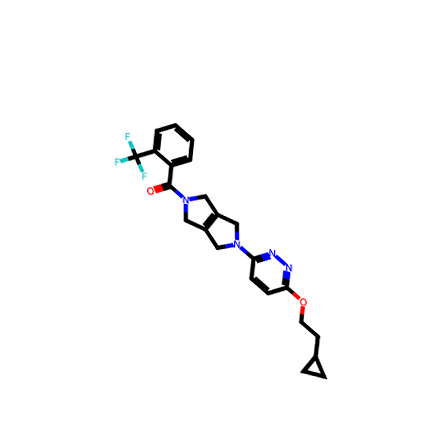 O=C(c1ccccc1C(F)(F)F)N1CC2=C(C1)CN(c1ccc(OCCC3CC3)nn1)C2